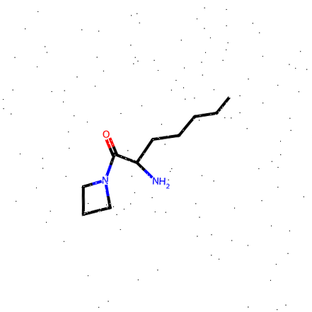 CCCCCC(N)C(=O)N1CCC1